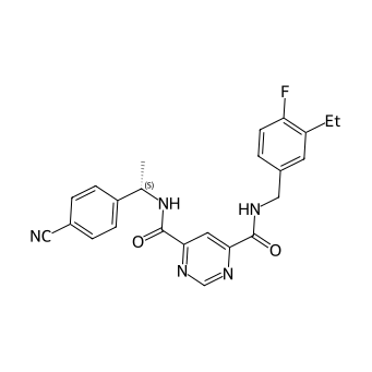 CCc1cc(CNC(=O)c2cc(C(=O)N[C@@H](C)c3ccc(C#N)cc3)ncn2)ccc1F